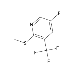 CSc1ncc(F)cc1C(F)(F)F